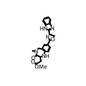 COC(=O)CC1Nc2ccc(C3=NC(c4nc5ccccc5[nH]4)CO3)cc2CN(C)C1=O